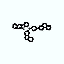 c1ccc2cc3c(cc2c1)sc1c(N(c2ccc(-c4ccc5c(ccc6ccccc65)c4)cc2)c2ccc4ccc5ccccc5c4c2)cccc13